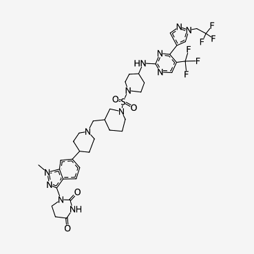 Cn1nc(N2CCC(=O)NC2=O)c2ccc(C3CCN(CC4CCCN(S(=O)(=O)N5CCC(Nc6ncc(C(F)(F)F)c(-c7cnn(CC(F)(F)F)c7)n6)CC5)C4)CC3)cc21